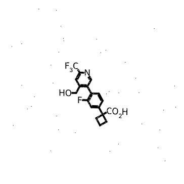 O=C(O)C1(c2ccc(-c3cnc(C(F)(F)F)cc3CO)c(F)c2)CCC1